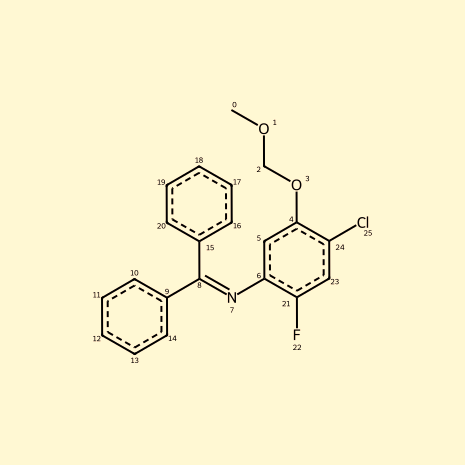 COCOc1cc(N=C(c2ccccc2)c2ccccc2)c(F)cc1Cl